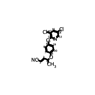 CC(/C=C/C#N)Oc1ccc(Oc2ncc(Cl)cc2Cl)cc1